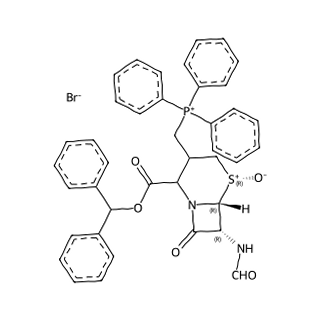 O=CN[C@@H]1C(=O)N2C(C(=O)OC(c3ccccc3)c3ccccc3)C(C[P+](c3ccccc3)(c3ccccc3)c3ccccc3)C[S@+]([O-])[C@H]12.[Br-]